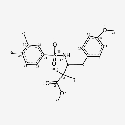 COC(=O)C(C)(C)C(Cc1ccc(OC)cc1)NS(=O)(=O)c1ccc(C)c(C)c1